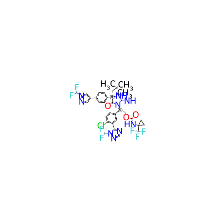 CC(C)(C)C[C@]1(c2ccc(-c3cnn(C(F)F)c3)cc2)NC(=N)N([C@H](COC(=O)NC2(C(F)(F)F)CC2)c2ccc(Cl)c(-c3ncnn3C(F)F)c2)C1=O